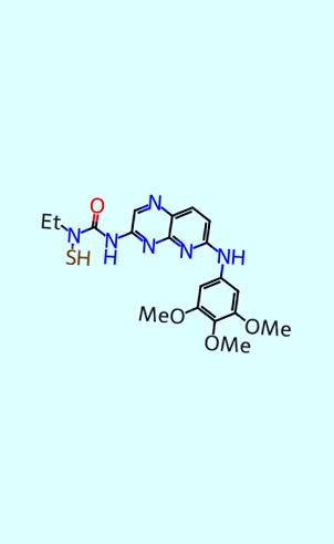 CCN(S)C(=O)Nc1cnc2ccc(Nc3cc(OC)c(OC)c(OC)c3)nc2n1